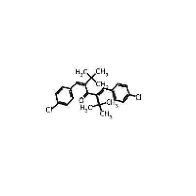 CC(C)(C)C(=Cc1ccc(Cl)cc1)C(=O)C(=Cc1ccc(Cl)cc1)C(C)(C)C